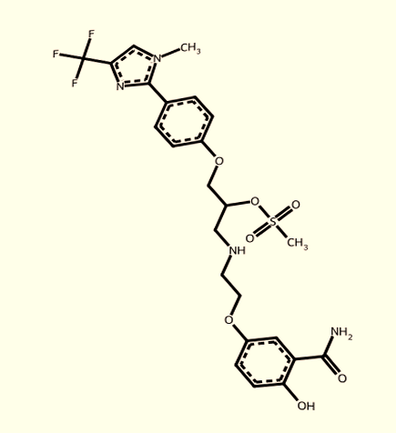 Cn1cc(C(F)(F)F)nc1-c1ccc(OCC(CNCCOc2ccc(O)c(C(N)=O)c2)OS(C)(=O)=O)cc1